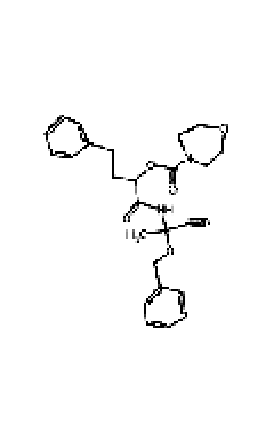 CC(C#N)(NC(=O)C(CCc1ccccc1)OC(=O)N1CCOCC1)OCc1ccccc1